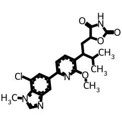 COc1nc(-c2cc(Cl)c3c(c2)ncn3C)ccc1C(CC1OC(=O)NC1=O)C(C)C